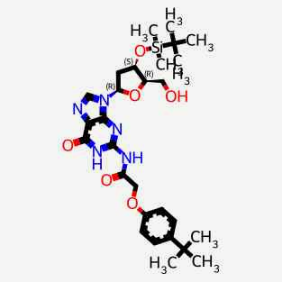 CC(C)(C)c1ccc(OCC(=O)Nc2nc3c(ncn3[C@H]3C[C@H](O[Si](C)(C)C(C)(C)C)[C@@H](CO)O3)c(=O)[nH]2)cc1